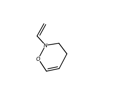 C=CN1CCC=CO1